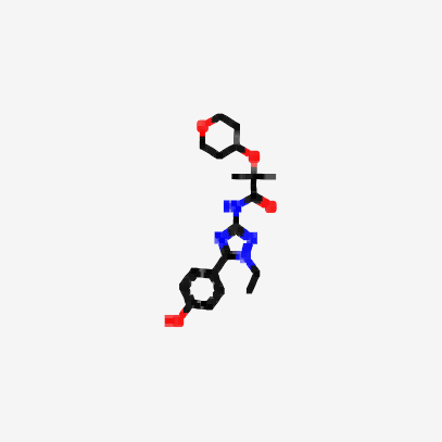 CCn1nc(NC(=O)C(C)(C)OC2CCOCC2)nc1-c1ccc(O)cc1